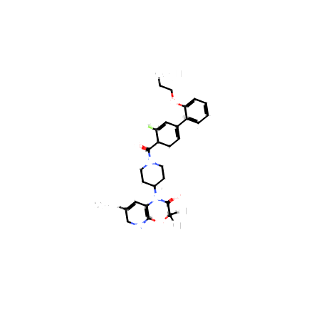 COC1=CC2=C(NC1)OC(C)(C)C(=O)N2C1CCN(C(=O)C2CC=C(c3ccccc3OCCC(=O)O)C=C2F)CC1